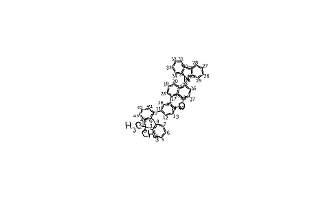 CC1(C)c2ccccc2-c2c(-c3ccc4c(c3)-c3cccc5c(-n6c7ccccc7c7ccccc76)ccc(c35)O4)cccc21